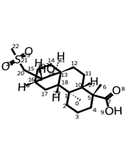 C[C@@]12CCC[C@@](C)(C(=O)O)[C@H]1CC[C@@]13CC[C@@H](C[C@@H]21)[C@H](CS(C)(=O)=O)[C@H]3O